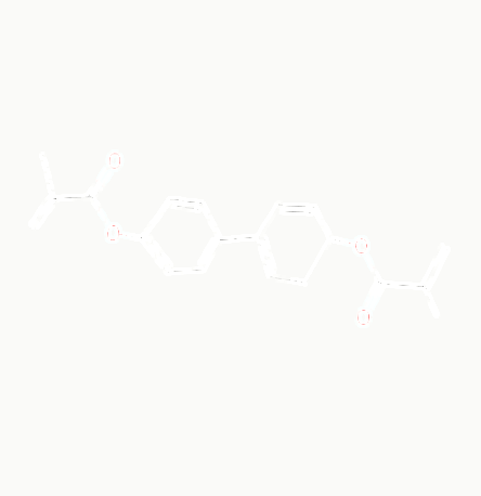 C=C(C)C(=O)Oc1ccc(C2=CCC(OC(=O)C(=C)C)C=C2)cc1